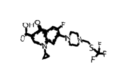 O=C(O)c1cn(C2CC2)c2cc(N3CCN(CSC(F)(F)F)CC3)c(F)cc2c1=O